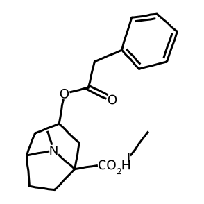 CI.CN1C2CCC1(C(=O)O)CC(OC(=O)Cc1ccccc1)C2